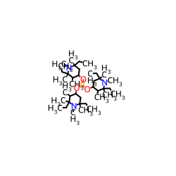 CCC1(C)CC(OP(OC2CC(C)(CC)N(C)C(C)(CC)C2C)OC2CC(C)(CC)N(C)C(C)(CC)C2C)C(C)C(C)(CC)N1C